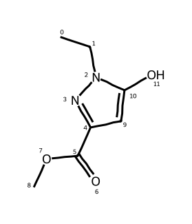 CCn1nc(C(=O)OC)cc1O